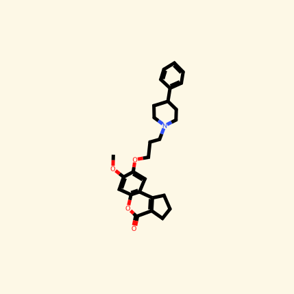 COc1cc2oc(=O)c3c(c2cc1OCCCN1CCC(c2ccccc2)CC1)CCC3